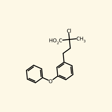 CC(Cl)(CCc1cccc(Oc2ccccc2)c1)C(=O)O